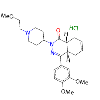 COCCN1CCC(N2N=C(c3ccc(OC)c(OC)c3)[C@H]3CC=CC[C@H]3C2=O)CC1.Cl